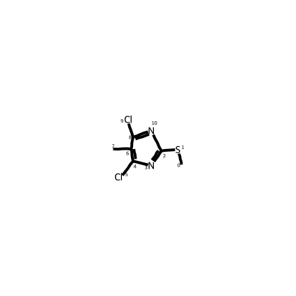 CSc1nc(Cl)c(C)c(Cl)n1